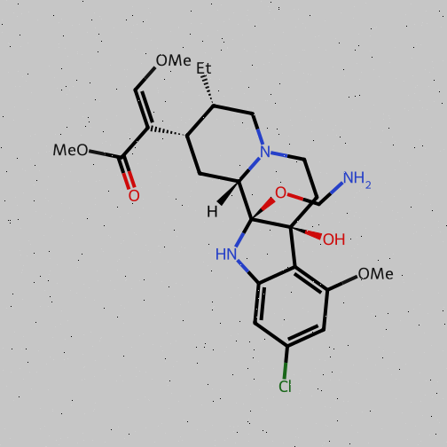 CC[C@@H]1CN2CC[C@]3(O)c4c(cc(Cl)cc4OC)N[C@]3(OCN)[C@@H]2C[C@@H]1/C(=C\OC)C(=O)OC